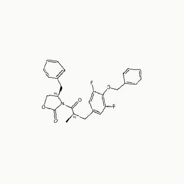 C[C@H](Cc1cc(F)c(OCc2ccccc2)c(F)c1)C(=O)N1C(=O)OC[C@H]1Cc1ccccc1